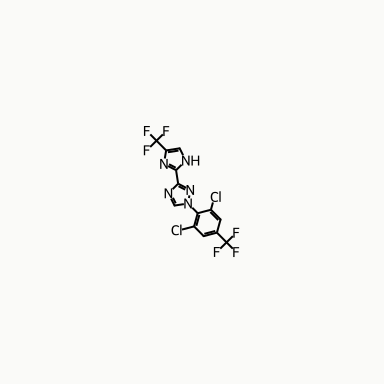 FC(F)(F)c1cc(Cl)c(-n2cnc(-c3nc(C(F)(F)F)c[nH]3)n2)c(Cl)c1